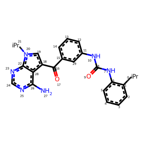 CC(C)c1ccccc1NC(=O)Nc1cccc(C(=O)c2cn(C(C)C)c3ncnc(N)c23)c1